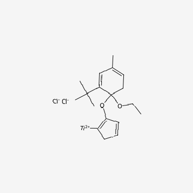 CCOC1(OC2=[C]([Ti+2])CC=C2)CC=C(C)C=C1C(C)(C)C.[Cl-].[Cl-]